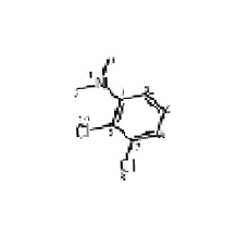 CN(C)c1[c]ccc(Cl)c1Cl